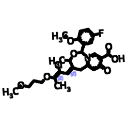 COCCCO/C(C)=C(Cl)/C=C1/Cc2cc(=O)c(C(=O)O)cn2C(c2cc(F)ccc2OC)OC1C